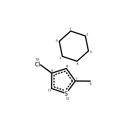 C1CCCCC1.Cc1cc(Cl)cs1